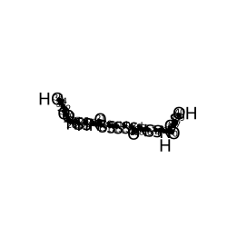 O=C(NCSCSC/N=C/[S+]([O-])CSCSCSCSC(=O)NCSCSC/N=C\OOCSCO)OCSCO